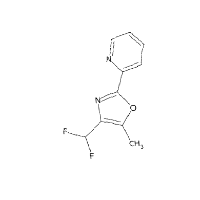 Cc1oc(-c2ccccn2)nc1C(F)F